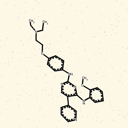 CCN(CC)CCOc1ccc(Nc2ncc(-c3cccnc3)c(Nc3ccccc3OC)n2)cc1